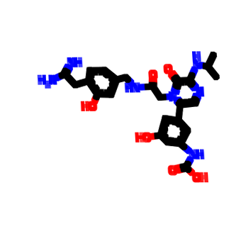 CC(C)Nc1ncc(-c2cc(O)cc(NC(=O)O)c2)n(CC(=O)NCc2ccc(CC(=N)N)c(O)c2)c1=O